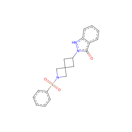 O=c1c2ccccc2[nH]n1C1CC2(C1)CN(S(=O)(=O)c1ccccc1)C2